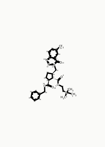 C[Si](C)(C)CCOC(=O)[C@H]1[C@H](Cn2nnc3ccc(C(F)(F)F)cc3c2=O)CC[C@@H]1C(=O)OCc1ccccc1